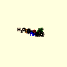 CCSc1ccc(CNC(=O)Nc2ccc(-c3ccccc3OC(F)(F)F)c(Cl)c2)cc1